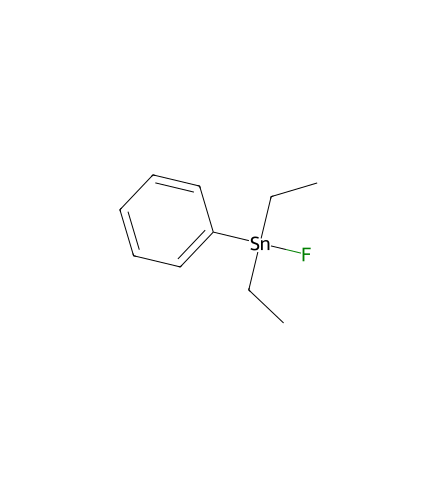 C[CH2][Sn]([F])([CH2]C)[c]1ccccc1